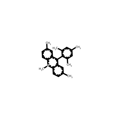 Cc1cc(C)c(-c2c3cc(C)ccc3[n+](C)c3ccc(C)cc23)c(C)c1